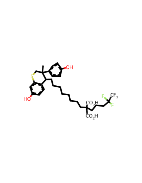 CC1(c2ccc(O)cc2)CSc2cc(O)ccc2C1CCCCCCCCC(CCCC(F)(F)C(F)(F)F)(C(=O)O)C(=O)O